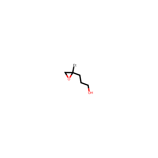 CCC1(CCCO)CO1